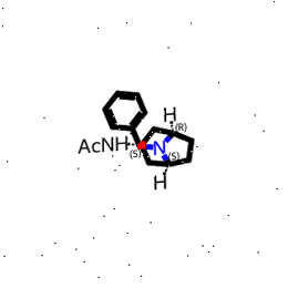 CC(=O)N[C@@H]1C[C@H]2CC[C@@H](C1)N2Cc1ccccc1